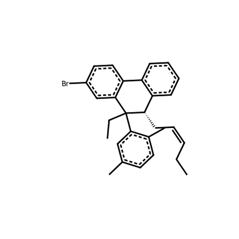 CC/C=C\C[C@H]1c2ccccc2-c2ccc(Br)cc2C1(CC)c1cc(C)ccc1C